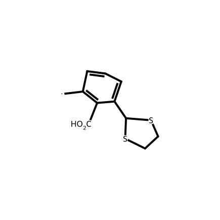 [CH2]c1cccc(C2SCCS2)c1C(=O)O